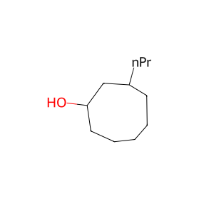 CCCC1CCCCCC(O)C1